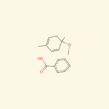 COC1(C)C=CC(C)=CC1.O=C(O)c1ccccc1